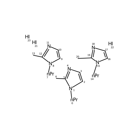 CCCn1ccnc1C.CCCn1ccnc1C.CCCn1ccnc1C.I.I.I